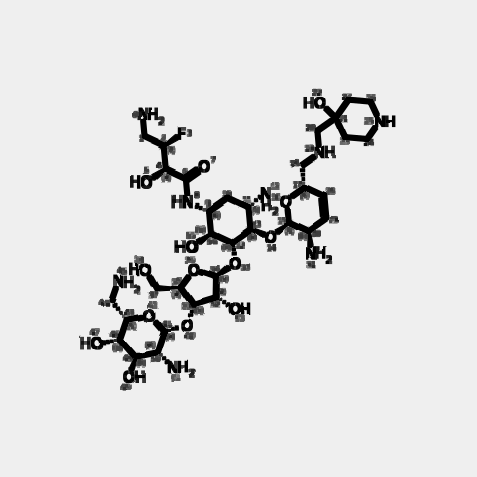 NC[C@@H](F)[C@H](O)C(=O)N[C@@H]1C[C@H](N)[C@@H](O[C@H]2O[C@H](CNCC3(O)CCNCC3)C=C[C@H]2N)[C@H](O[C@@H]2O[C@H](CO)[C@@H](O[C@H]3O[C@@H](CN)[C@@H](O)[C@H](O)[C@H]3N)[C@H]2O)[C@H]1O